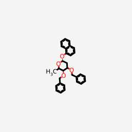 CC1O[C@H](Oc2cccc3ccccc23)CC(OCc2ccccc2)[C@H]1OCc1ccccc1